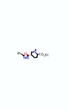 CCOC(=O)[C@H]1CC[C@H](c2nnc(C(C)C)o2)CN1C